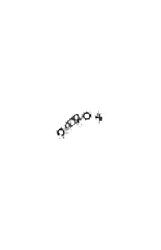 O=C1N(c2ccc(OCC(F)(F)F)cc2)CCC12CCN(S(=O)(=O)c1cccnc1)CC2